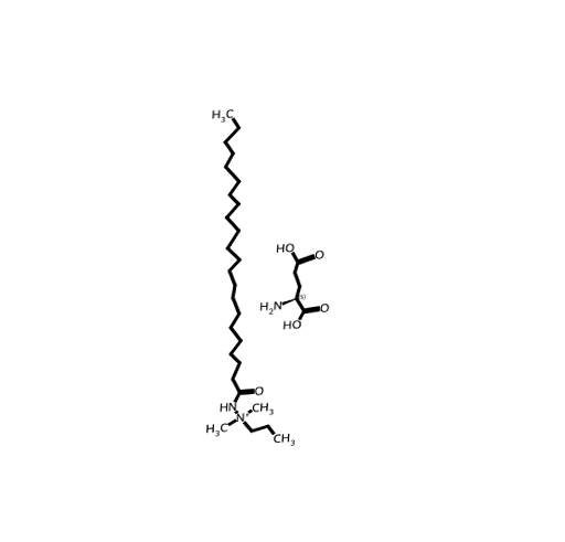 CCCCCCCCCCCCCCCCCCCCCC(=O)N[N+](C)(C)CCC.N[C@@H](CCC(=O)O)C(=O)O